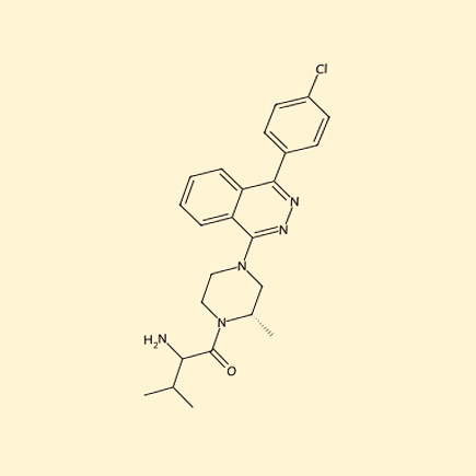 CC(C)C(N)C(=O)N1CCN(c2nnc(-c3ccc(Cl)cc3)c3ccccc23)C[C@@H]1C